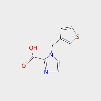 O=C(O)c1nccn1Cc1ccsc1